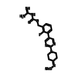 CON=C1CCN(c2ncc(-c3cccc(COC(=O)NC(=N)N)c3F)cn2)CC1